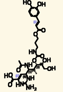 CC(=O)N[C@@H]([C@@H](C)[C@H](OC(=O)NCCCOC(=O)/C=C/c1ccc(O)c(O)c1)[C@H](O)CO)[C@H](/C=C(\C)C(=O)O)NC(=N)N